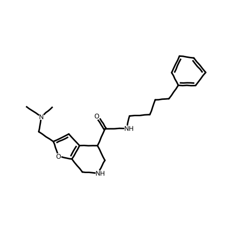 CN(C)Cc1cc2c(o1)CNCC2C(=O)NCCCCc1ccccc1